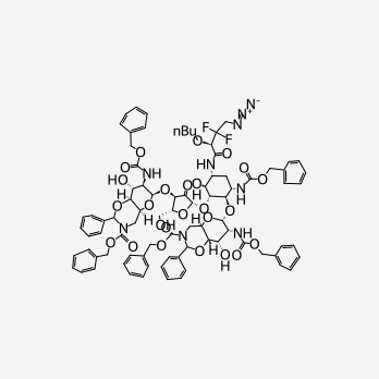 CCCCO[C@H](C(=O)N[C@@H]1C[C@H](NC(=O)OCc2ccccc2)[C@@H](O[C@H]2O[C@@H]3CN(C(=O)OCc4ccccc4)C(c4ccccc4)O[C@H]3[C@@H](O)[C@H]2NC(=O)OCc2ccccc2)[C@H](O[C@@H]2O[C@H](CO)[C@@H](O[C@H]3O[C@H]4CN(C(=O)OCc5ccccc5)C(c5ccccc5)O[C@H]4[C@H](O)[C@H]3NC(=O)OCc3ccccc3)C2=O)[C@H]1O)C(F)(F)CN=[N+]=[N-]